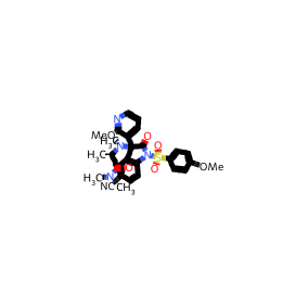 COc1ccc(S(=O)(=O)N2C(=O)C(c3cccnc3OC)(N(C)[C@@H](C)C(=O)N(C)C)c3cc(C#N)ccc32)cc1